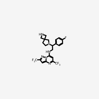 Fc1ccc(C(CNc2cc(C(F)(F)F)nc3cc(C(F)(F)F)nn23)N2CCC3(CNC3)C2)cc1